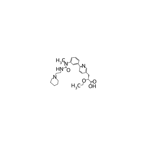 CCO[C@@H](Cc1ccc(-c2cccc(N(C)C(=O)NCCN3CCCCC3)c2)nc1)C(=O)O